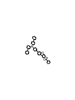 c1ccc(-c2ccc(N(c3ccc(-c4ccc5c(c4)oc4cc6nc(-c7ccccc7)oc6cc45)cc3)c3cccc(-c4ccccc4)c3)cc2)cc1